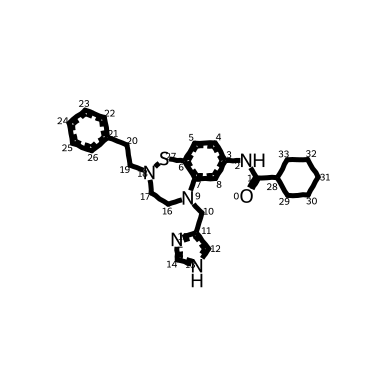 O=C(Nc1ccc2c(c1)N(Cc1c[nH]cn1)CCN(CCc1ccccc1)S2)C1CCCCC1